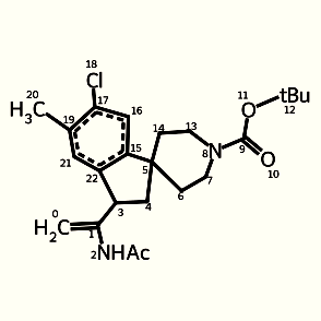 C=C(NC(C)=O)C1CC2(CCN(C(=O)OC(C)(C)C)CC2)c2cc(Cl)c(C)cc21